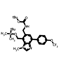 Cn1cnc2c(-c3ccc(OC(F)(F)F)cc3)cc(CNC(=O)OC(C)(C)C)c(CO[Si](C)(C)C(C)(C)C)c21